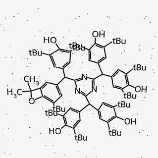 CC(C)(C)c1cc(C(c2cc(C(C)(C)C)c(O)c(C(C)(C)C)c2)c2nc(C(c3cc(C(C)(C)C)c(O)c(C(C)(C)C)c3)c3cc(C(C)(C)C)c(O)c(C(C)(C)C)c3)nc(C(c3cc(C(C)(C)C)c(O)c(C(C)(C)C)c3)c3cc(C(C)(C)C)c4c(c3)C(C)(C)O4)n2)cc(C(C)(C)C)c1O